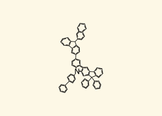 c1ccc(-c2ccc(-n3c4ccc(-c5ccc6c(c5)-c5ccccc5C6c5ccc6ccccc6c5)cc4c4cc5c(cc43)C(c3ccccc3)(c3ccccc3)c3ccccc3-5)cc2)cc1